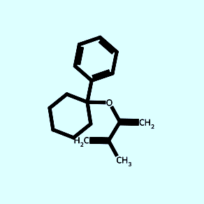 C=C(C)C(=C)OC1(c2ccccc2)CCCCC1